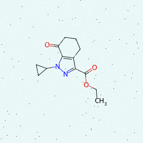 CCOC(=O)c1nn(C2CC2)c2c1CCCC2=O